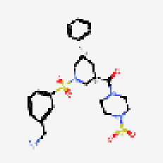 NCc1cccc(S(=O)(=O)N2C[C@H](C(=O)N3CCN([SH](=O)=O)CC3)C[C@@H](c3ccccc3)C2)c1